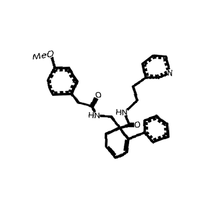 COc1ccc(CC(=O)NCC2(C(=O)NCCc3cccnc3)CC=CC=C2c2ccccc2)cc1